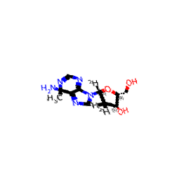 [2H]C1([2H])[C@H](O)[C@@H](CO)O[C@@]1([2H])N1CN=C2C1=NC=NC2(C)N